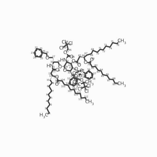 CCCCCCCCCCC[C@H](CC(=O)N[C@H](COCc1ccccc1)CO[C@H]1O[C@H](COC(=O)OC(C)(C)C(Cl)(Cl)Cl)[C@@H](OP(=O)(Oc2ccccc2)Oc2ccccc2)[C@H](OC(=O)C[C@@H](CCCCCCCCCCC)OC(=O)CCCCCCCCCC)[C@@H]1NC(=O)OCC(Cl)(Cl)Cl)OC(=O)CCCCCCCCCC